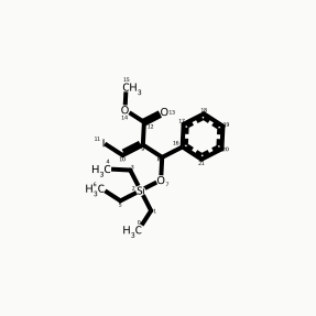 CC[Si](CC)(CC)OC(/C(=C/I)C(=O)OC)c1ccccc1